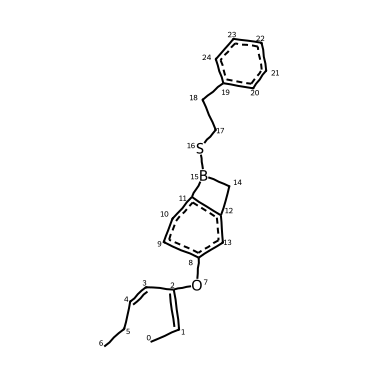 C/C=C(\C=C/CC)Oc1ccc2c(c1)CB2SCCc1ccccc1